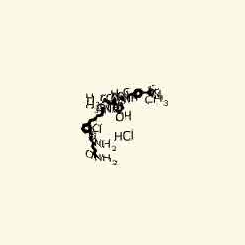 Cc1ncsc1-c1ccc([C@H](C)NC(=O)[C@@H]2C[C@H](O)CN2C(=O)[C@@H](NC(=O)CCCCc2cccc(OC[C@@H](N)CCC(N)=O)c2Cl)C(C)(C)C)cc1.Cl